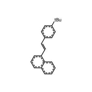 CC(C)(C)c1ccc(/C=C/c2cccc3ccccc23)cc1